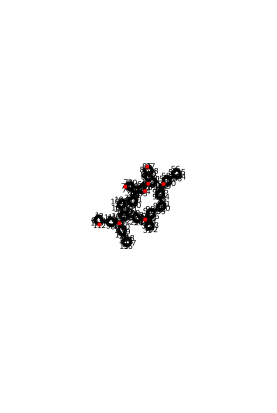 c1ccc(-c2ccc(N(c3ccc(-c4ccccc4)cc3)c3cc(-c4ccc(-n5c6ccccc6c6cc(-c7cccc(-c8ccc(N(c9ccc(-c%10ccccc%10)cc9)c9cc(-c%10ccc%11c(c%10)c%10ccccc%10n%11-c%10ccccc%10)c%10sc%11ccccc%11c%10c9)cc8)c7)ccc65)cc4)c4sc5ccccc5c4c3)cc2)cc1